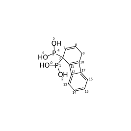 OP(O)C1(P(O)O)C=CCC2=C1c1ccccc12